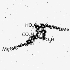 COCCOCCOCCOc1ccc(-c2cc(CN3CCN(CC(=O)O)Cc4cccc(n4)CN(Cc4cc(-c5ccc(OCCOCCOCCOC)cc5C)cc(C(=O)O)n4)CC3)nc(C(=O)O)c2)c(C)c1